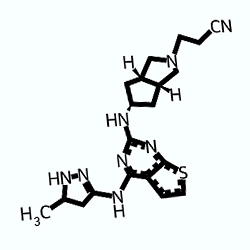 CC1CC(Nc2nc(N[C@@H]3C[C@@H]4CN(CCC#N)C[C@@H]4C3)nc3sccc23)=NN1